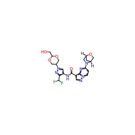 O=C(Nc1cn(C2COC(CO)OC2)nc1C(F)F)c1cnn2ccc(N3C[C@H]4C[C@@H]3CO4)nc12